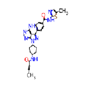 CC#CC(=O)N[C@H]1CC[C@H](n2nc(-c3ccc(C(=O)Nc4ncc(C)s4)cc3)c3c(N)ncnc32)CC1